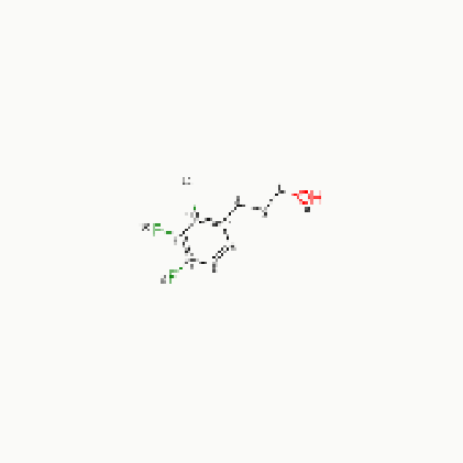 OCCCc1ccc(F)c(F)c1F